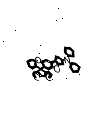 c1ccc(N(c2ccccc2)c2ccc3c(c2)oc2cc4c(cc23)Oc2ccccc2C42c3ccccc3-c3ccccc32)cc1